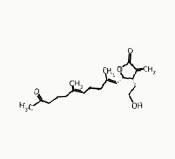 C=C1C(=O)O[C@@H](/C=C(\C)CC/C=C(\C)CCCC(C)=O)[C@H]1CCO